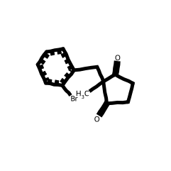 CC1(Cc2ccccc2Br)C(=O)CCC1=O